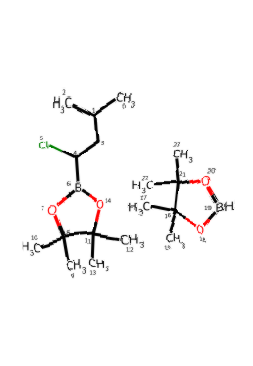 CC(C)CC(Cl)B1OC(C)(C)C(C)(C)O1.CC1(C)OBOC1(C)C